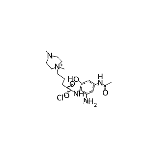 CC(=O)Nc1cc(N)c(NS(=O)(=O)CCC[N+]2(C)CCN(C)CC2)c(O)c1.[Cl-]